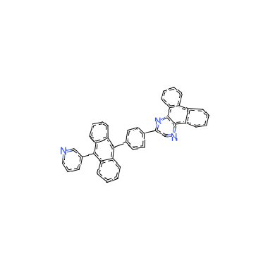 c1cncc(-c2c3ccccc3c(-c3ccc(-c4cnc5c6ccccc6c6ccccc6c5n4)cc3)c3ccccc23)c1